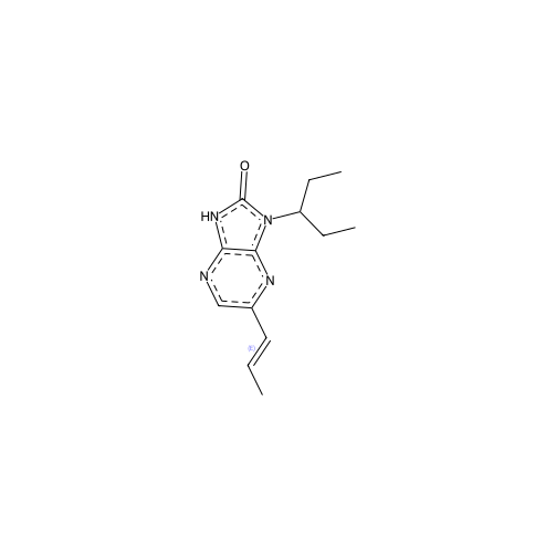 C/C=C/c1cnc2[nH]c(=O)n(C(CC)CC)c2n1